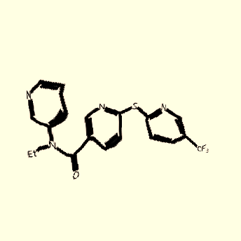 CCN(C(=O)c1ccc(Sc2ccc(C(F)(F)F)cn2)nc1)c1cccnc1